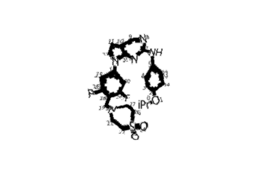 CC(C)Oc1ccc(Nc2ncc3ccn(-c4cc(F)c(CN5CCS(=O)(=O)CC5)c(F)c4)c3n2)cc1